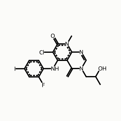 C=C1c2c(Nc3ccc(I)cc3F)c(Cl)c(=O)n(C)c2N=CN1CC(C)O